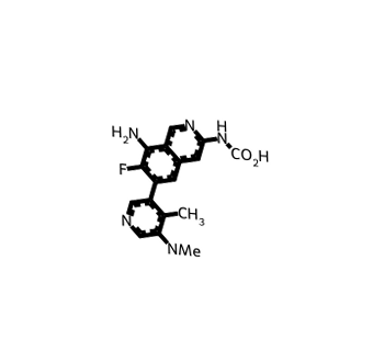 CNc1cncc(-c2cc3cc(NC(=O)O)ncc3c(N)c2F)c1C